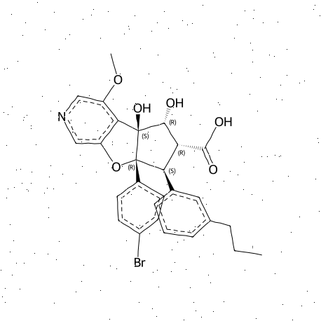 CCCc1cccc([C@@H]2[C@@H](C(=O)O)[C@@H](O)[C@@]3(O)c4c(OC)cncc4O[C@@]23c2ccc(Br)cc2)c1